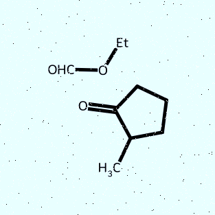 CC1CCCC1=O.CCOC=O